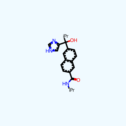 CC(C)NC(=O)c1ccc2cc(C(O)(c3c[nH]cn3)C(C)C)ccc2c1